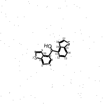 OC(c1cccc2sccc12)c1cccc2sccc12